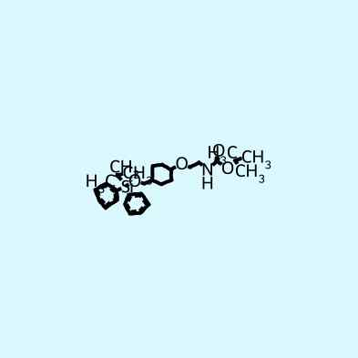 CC(C)(C)OC(=O)NCCOC1CCC(CO[Si](c2ccccc2)(c2ccccc2)C(C)(C)C)CC1